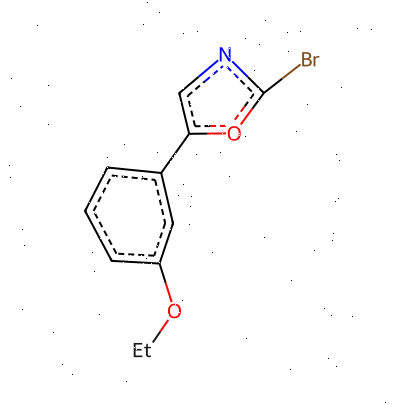 CCOc1cccc(-c2cnc(Br)o2)c1